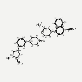 C[C@@H]1CN(c2ccc(C#N)c3ncccc23)C[C@H](CN2CCN(c3ccnc(N4C[C@@H](N)[C@H](F)C4)n3)CC2)O1